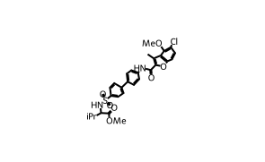 COC(=O)C(NS(=O)(=O)c1ccc(-c2ccc(NC(=O)c3oc4ccc(Cl)c(OC)c4c3C)cc2)cc1)C(C)C